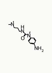 CN(C)CCCNC(=O)N(C)c1ccc(N)cc1